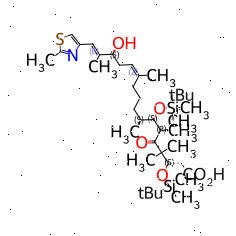 C/C(=C/C[C@H](O)/C(C)=C/c1csc(C)n1)CCC[C@H](C)[C@H](O[Si](C)(C)C(C)(C)C)[C@@H](C)C(=O)C(C)(C)[C@H](CC(=O)O)O[Si](C)(C)C(C)(C)C